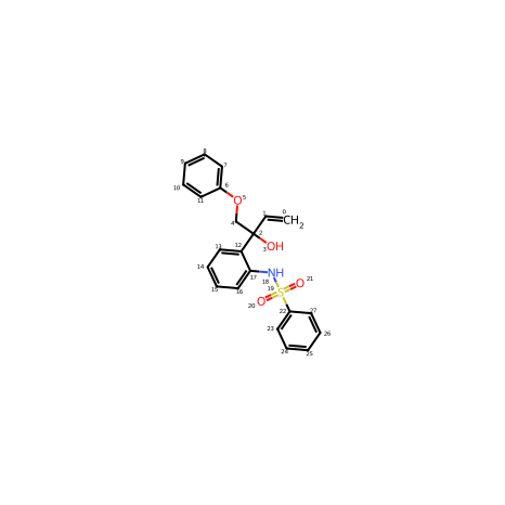 C=CC(O)(COc1c[c]ccc1)c1ccccc1NS(=O)(=O)c1ccccc1